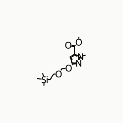 COC(=O)c1cc(OCOCC[Si](C)(C)C)nn1C